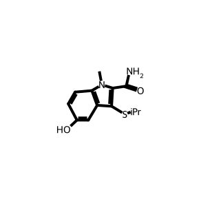 CC(C)Sc1c(C(N)=O)n(C)c2ccc(O)cc12